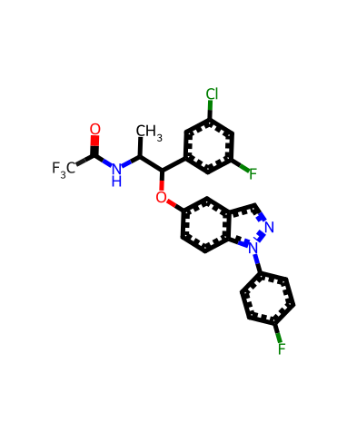 CC(NC(=O)C(F)(F)F)C(Oc1ccc2c(cnn2-c2ccc(F)cc2)c1)c1cc(F)cc(Cl)c1